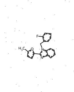 Cc1ccc(-c2nc3ccccc3n2Cc2ccccc2F)o1